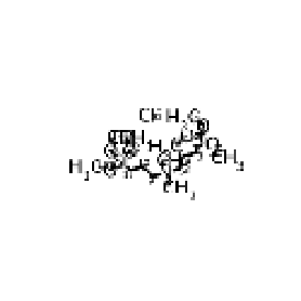 CO[Si](CCC[N+](C)(C)CCC[Si](OC)(OC)OC)(OC)OC.[Cl-]